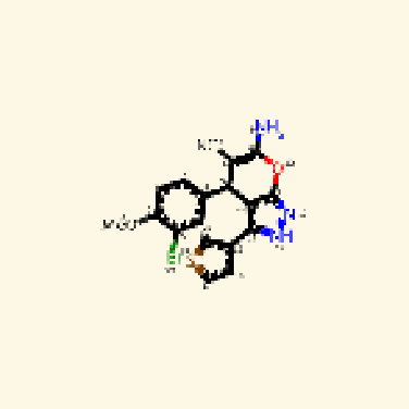 COc1ccc(C2C(C#N)=C(N)Oc3n[nH]c(-c4ccsc4)c32)cc1Br